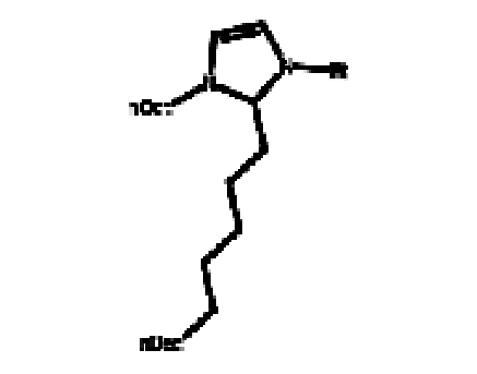 CCCCCCCCCCCCCCCC1N(CC)C=CN1CCCCCCCC